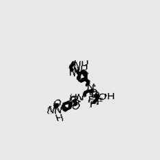 CN(C)C(=O)Nc1ccc(S(=O)(=O)CNCCC(=O)N(C)CCc2ccc(C3=NCCN3)cc2)cc1.O=C(O)C(F)(F)F